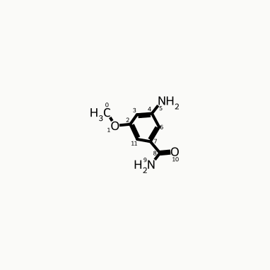 COc1cc(N)cc(C(N)=O)c1